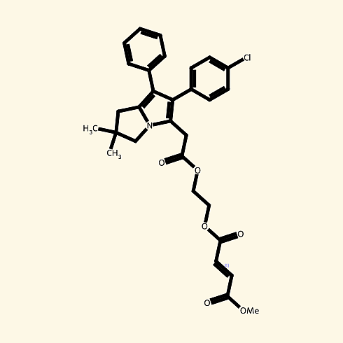 COC(=O)/C=C/C(=O)OCCOC(=O)Cc1c(-c2ccc(Cl)cc2)c(-c2ccccc2)c2n1CC(C)(C)C2